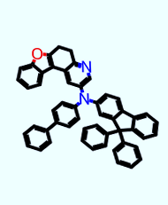 c1ccc(-c2ccc(N(c3cnc4c(c3)-c3c(oc5ccccc35)CC4)c3ccc4c(c3)C(c3ccccc3)(c3ccccc3)c3ccccc3-4)cc2)cc1